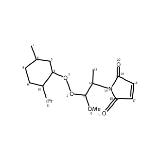 COC(OOC1CC(C)CCC1C(C)C)C(C)N1C(=O)C=CC1=O